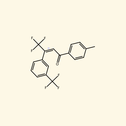 Cc1ccc(C(=O)/C=C(\c2cccc(C(F)(F)F)c2)C(F)(F)F)cc1